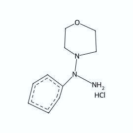 Cl.NN(c1ccccc1)N1CCOCC1